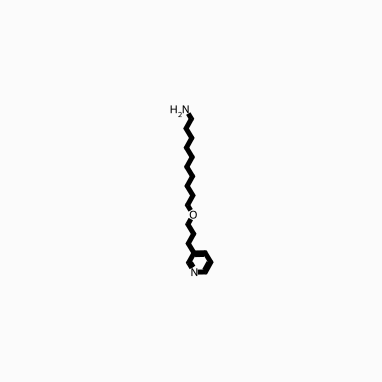 NCCCCCCCCCCOCCCc1cccnc1